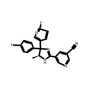 C[C@@H]1NC(c2cncc(C#N)c2)=NC1(c1ccc(F)cc1)c1ccc(F)nc1